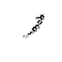 CCCCOc1ccc(CC(=O)N2CCN(c3ncccc3C#N)CC2)cn1